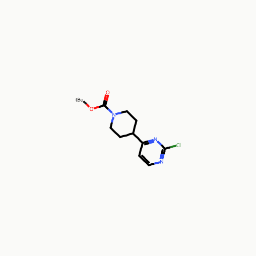 CC(C)(C)OC(=O)N1CCC(c2ccnc(Cl)n2)CC1